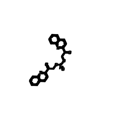 O=C(CO[PH](=O)OCC(=O)c1ccc2ccccc2n1)c1ccc2ccccc2n1